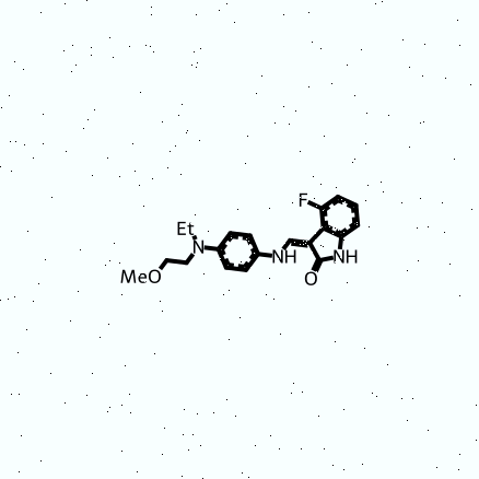 CCN(CCOC)c1ccc(NC=C2C(=O)Nc3cccc(F)c32)cc1